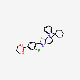 Fc1cc(C2OCCCO2)ccc1-c1nc2ccc(C3(c4ccccc4)CCCCC3)nc2s1